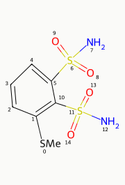 CSc1cccc(S(N)(=O)=O)c1S(N)(=O)=O